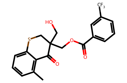 Cc1cccc2c1C(=O)C(CO)(COC(=O)c1cccc(C(F)(F)F)c1)CS2